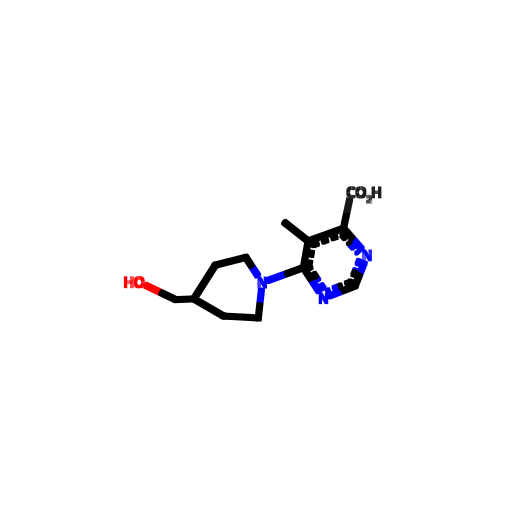 Cc1c(C(=O)O)ncnc1N1CCC(CO)CC1